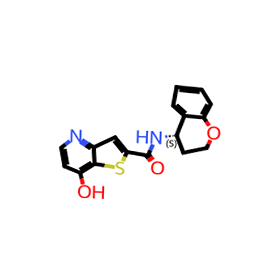 O=C(N[C@H]1CCOc2ccccc21)c1cc2nccc(O)c2s1